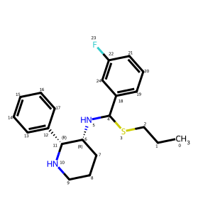 CCCSC(N[C@@H]1CCCN[C@@H]1c1ccccc1)c1cccc(F)c1